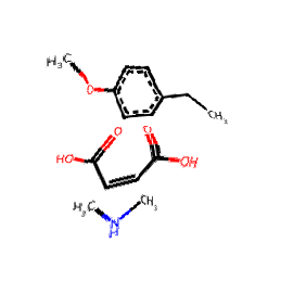 CCc1ccc(OC)cc1.CNC.O=C(O)/C=C\C(=O)O